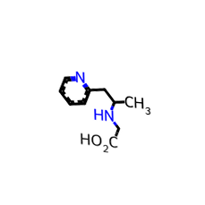 CC(Cc1ccccn1)NCC(=O)O